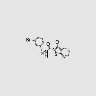 C[C@@H](NC(=O)n1sc2ncccc2c1=O)c1cccc(Br)c1